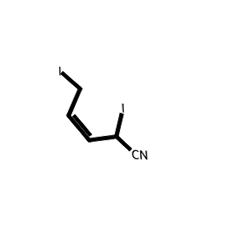 N#CC(I)/C=C\CI